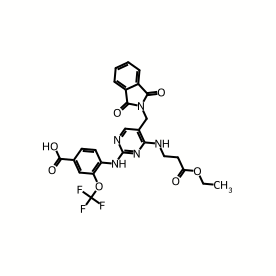 CCOC(=O)CCNc1nc(Nc2ccc(C(=O)O)cc2OC(F)(F)F)ncc1CN1C(=O)c2ccccc2C1=O